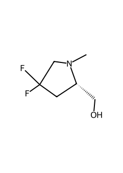 CN1CC(F)(F)C[C@H]1CO